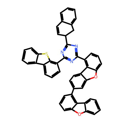 C1=CC(c2nc(-c3cccc4c3sc3ccccc34)nc(-c3cccc4oc5cc(-c6cccc7oc8ccccc8c67)ccc5c34)n2)Cc2ccccc21